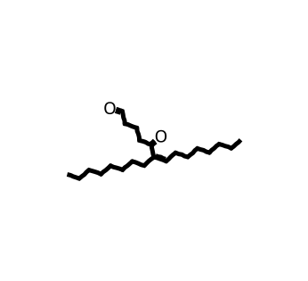 CCCCCCCC=C(CCCCCCCC)C(=O)CCCC=O